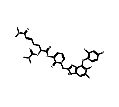 CN(C)C(=O)C=CCCC(OC(=O)N(C)C)C(=O)Nc1cccn(Cc2nc3c(Oc4ccc(F)cc4F)c(F)c(F)cc3[nH]2)c1=O